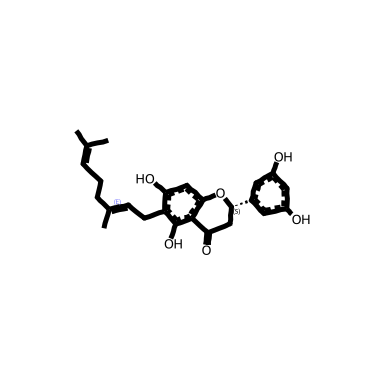 CC(C)=CCC/C(C)=C/Cc1c(O)cc2c(c1O)C(=O)C[C@@H](c1cc(O)cc(O)c1)O2